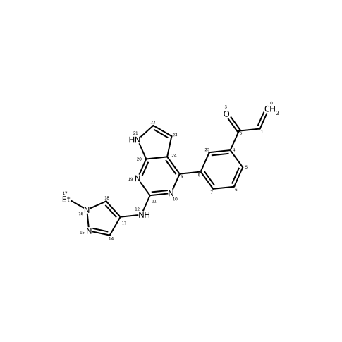 C=CC(=O)c1cccc(-c2nc(Nc3cnn(CC)c3)nc3[nH]ccc23)c1